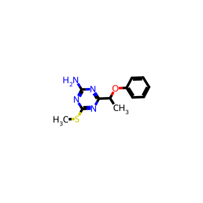 CSc1nc(N)nc(C(C)Oc2ccccc2)n1